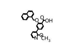 COc1ncccc1-c1ccc(C(=O)O)c(OCc2cccc3ccccc23)c1